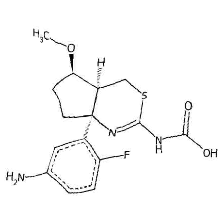 CO[C@@H]1CC[C@]2(c3cc(N)ccc3F)N=C(NC(=O)O)SC[C@H]12